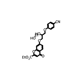 CCO.CCOC(=O)c1cc(=O)c2ccc(OCC(O)COc3ccc(C#N)cc3)cc2o1